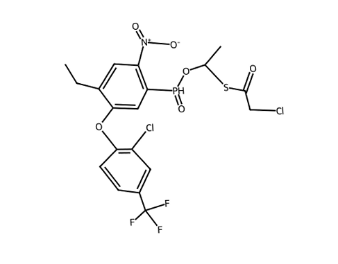 CCc1cc([N+](=O)[O-])c([PH](=O)OC(C)SC(=O)CCl)cc1Oc1ccc(C(F)(F)F)cc1Cl